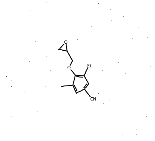 CCc1cc(C#N)cc(C)c1OCC1CO1